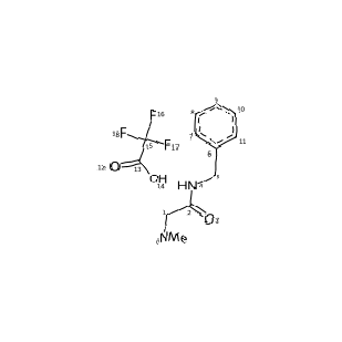 CNCC(=O)NCc1ccccc1.O=C(O)C(F)(F)F